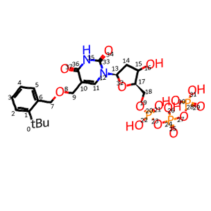 CC(C)(C)c1ccccc1COCc1cn([C@H]2CC(O)[C@@H](COP(=O)(O)OP(=O)(O)OP(=O)(O)O)O2)c(=O)[nH]c1=O